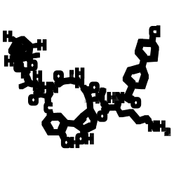 C[C@H](NC(=O)[C@@H]1Cc2ccc(O)c(c2)-c2cc(ccc2O)[C@H](N(C)C(=O)[C@H](CCCCN)NC(=O)c2ccc(-c3ccc(Cl)cc3)cc2)C(=O)N[C@@H](C)C(=O)N1)B1O[C@@H]2C[C@@H]3C[C@@H](C3(C)C)[C@]2(C)O1